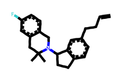 C=CCCc1ccc2c(c1)C(N1Cc3ccc(F)cc3CC1(C)C)CC2